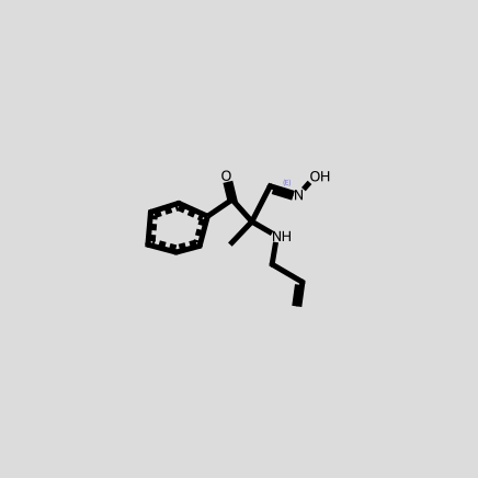 C=CCNC(C)(/C=N/O)C(=O)c1ccccc1